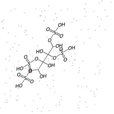 O=S(=O)(O)OC(O)C(O)(OS(=O)(=O)O)C(O)(OS(=O)(=O)O)C(O)OS(=O)(=O)O